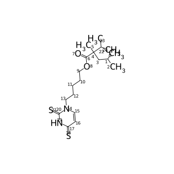 CC(C)CC(C)(C(=O)OCCCCCn1ccc(=S)[nH]c1=S)C(C)C